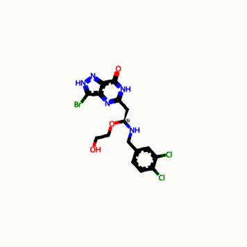 O=c1[nH]c(C[C@@H](NCc2ccc(Cl)c(Cl)c2)OCCO)nc2c(Br)[nH]nc12